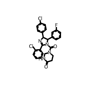 O=C1CCN(C(=O)N2C(c3ccccc3Cl)=NC(c3ccc(Cl)cc3)C2c2cccc(F)c2)CN1